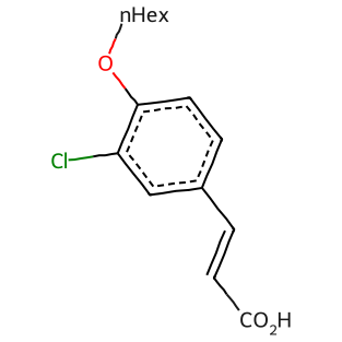 CCCCCCOc1ccc(C=CC(=O)O)cc1Cl